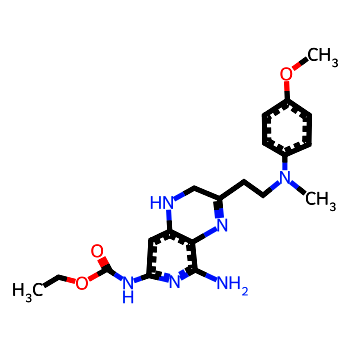 CCOC(=O)Nc1cc2c(c(N)n1)N=C(CCN(C)c1ccc(OC)cc1)CN2